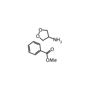 COC(=O)c1ccccc1.NC1COOC1